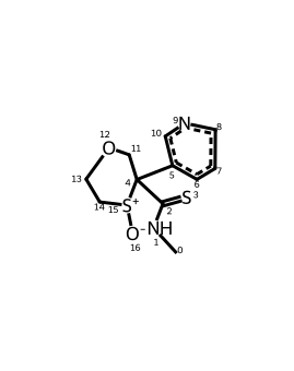 CNC(=S)C1(c2cccnc2)COCC[S+]1[O-]